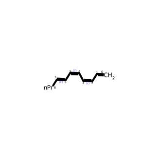 C=C\C=C/C=C\C=C\CCC